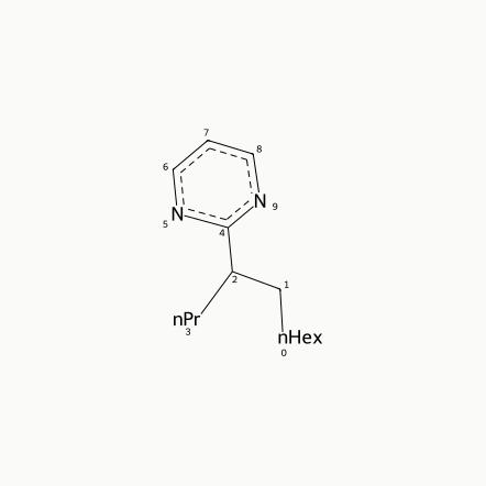 CCCCCCCC(CCC)c1ncccn1